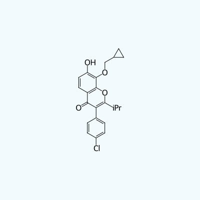 CC(C)c1oc2c(OCC3CC3)c(O)ccc2c(=O)c1-c1ccc(Cl)cc1